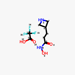 O=C(CCC1CNC1)NO.O=C(O)C(F)(F)F